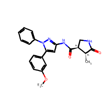 C[C@H]1C(=O)NC[C@@H]1C(=O)Nc1cc(-c2cccc(OC(F)(F)F)c2)n(-c2ccccc2)n1